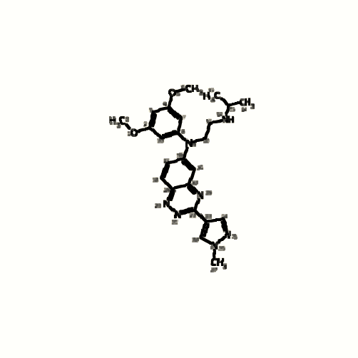 COc1cc(OC)cc(N(CCNC(C)C)c2ccc3nnc(-c4cnn(C)c4)nc3c2)c1